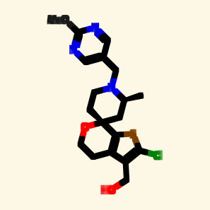 COc1ncc(CN2CC[C@]3(C[C@@H]2C)OCCc2c3sc(Cl)c2CO)cn1